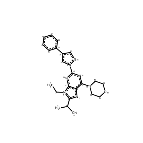 CCn1c(C(C)O)nc2c(N3CCOCC3)nc(-n3cc(-c4ccccc4)cn3)nc21